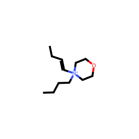 CCC=C[N+]1(CCCC)CCOCC1